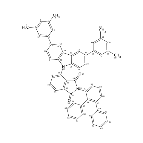 Cc1cc(C)cc(-c2ccc3c(c2)c2cc(-c4cc(C)cc(C)c4)ccc2n3-c2cccc3c2C(=O)N(c2cccc(-c4ccccc4)c2-c2ccccc2)C3=O)c1